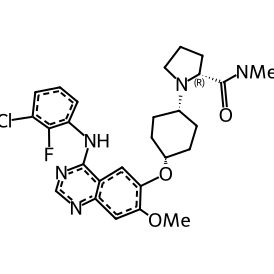 CNC(=O)[C@H]1CCCN1[C@H]1CC[C@@H](Oc2cc3c(Nc4cccc(Cl)c4F)ncnc3cc2OC)CC1